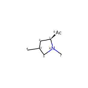 CC(=O)[C@@H]1CC(C)CN1C